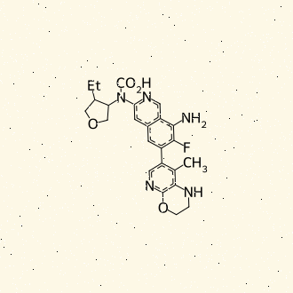 CCC1COCC1N(C(=O)O)c1cc2cc(-c3cnc4c(c3C)NCCO4)c(F)c(N)c2cn1